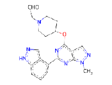 Cn1ncc2c(OC3CCN(CC=O)CC3)nc(-c3cccc4[nH]ncc34)nc21